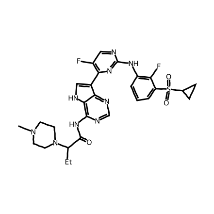 CCC(C(=O)Nc1ncnc2c(-c3nc(Nc4cccc(S(=O)(=O)C5CC5)c4F)ncc3F)c[nH]c12)N1CCN(C)CC1